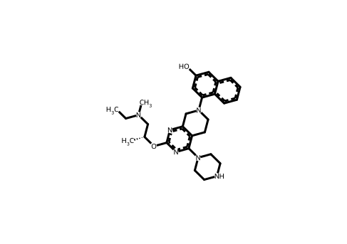 CCN(C)C[C@@H](C)Oc1nc2c(c(N3CCNCC3)n1)CCN(c1cc(O)cc3ccccc13)C2